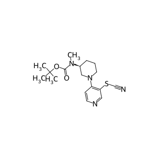 CN(C(=O)OC(C)(C)C)[C@H]1CCCN(c2ccncc2SC#N)C1